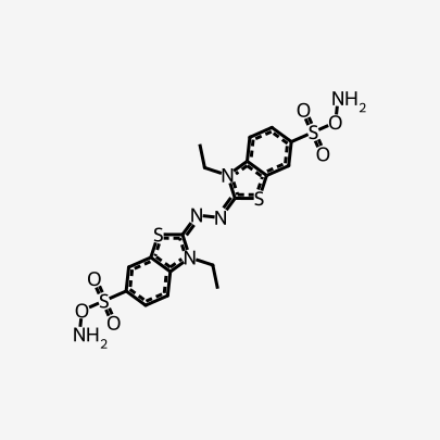 CCn1c(=NN=c2sc3cc(S(=O)(=O)ON)ccc3n2CC)sc2cc(S(=O)(=O)ON)ccc21